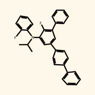 CC(C)N(c1ccccc1F)c1cc(-c2ccc(-c3ccccc3)cc2)cc(-c2ccccc2)c1F